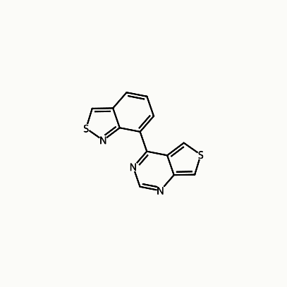 c1cc(-c2ncnc3cscc23)c2nscc2c1